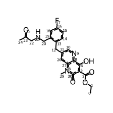 CCOC(=O)c1c(O)c2ncc(Cc3ccc(F)cc3CNCC(C)=O)cc2n(C)c1=O